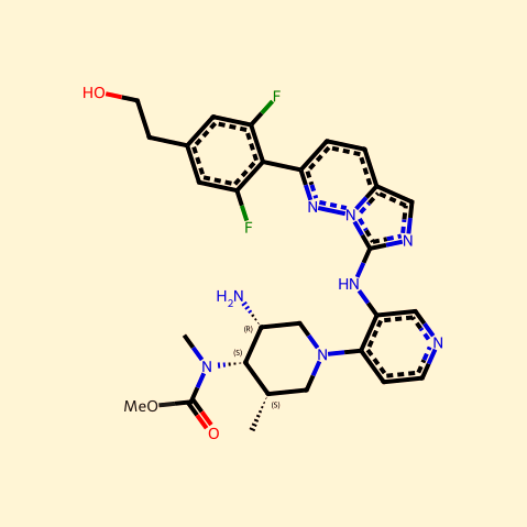 COC(=O)N(C)[C@@H]1[C@H](N)CN(c2ccncc2Nc2ncc3ccc(-c4c(F)cc(CCO)cc4F)nn23)C[C@@H]1C